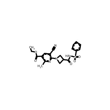 CCOC(=O)c1cc(C#N)c(N2CC(C(=O)[AsH]S(=O)(=O)c3ccccc3)C2)nc1C